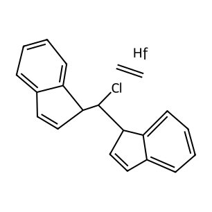 C=C.ClC(C1C=Cc2ccccc21)C1C=Cc2ccccc21.[Hf]